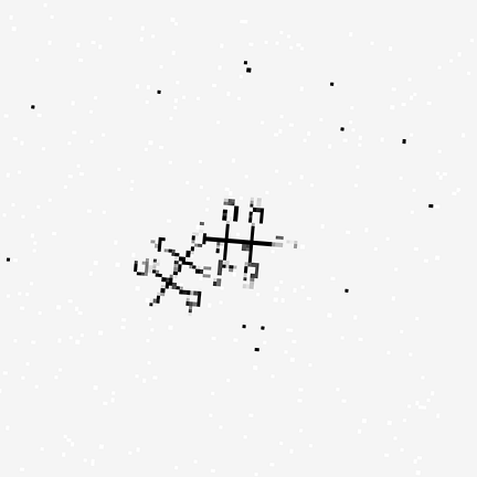 CC(Cl)(Cl)C(F)(F)OC(F)(Cl)C(F)(Cl)Cl